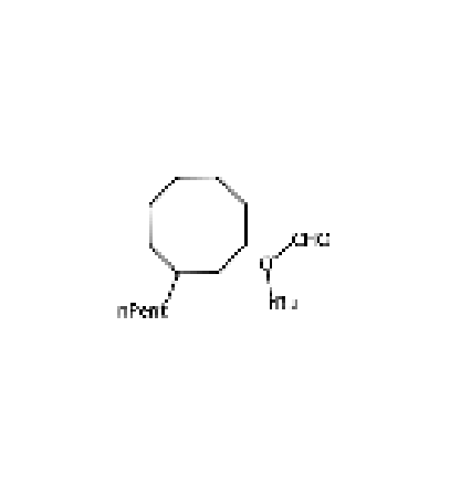 CC(C)(C)OC=O.CCCCCC1CCCCCCC1